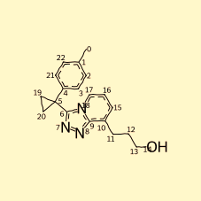 Cc1ccc(C2(c3nnc4c(CCCO)cccn34)CC2)cc1